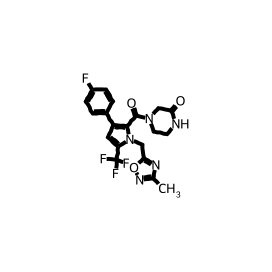 Cc1noc(Cn2c(C(F)(F)F)cc(-c3ccc(F)cc3)c2C(=O)N2CCNC(=O)C2)n1